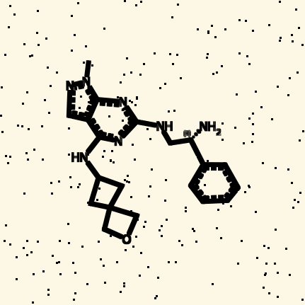 Cn1ncc2c(NC3CC4(COC4)C3)nc(NC[C@H](N)c3ccccc3)nc21